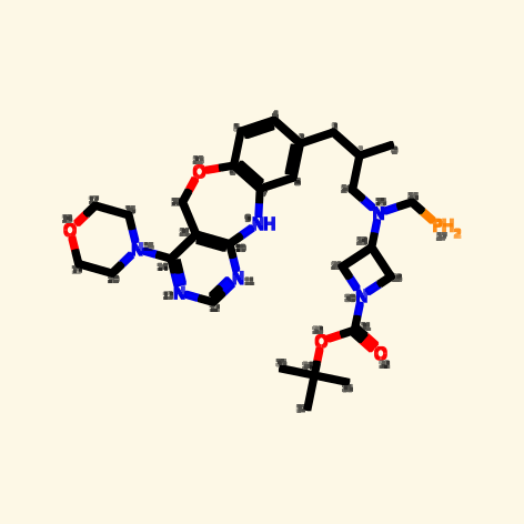 CC(Cc1ccc2c(c1)Nc1ncnc(N3CCOCC3)c1CO2)CN(CP)C1CN(C(=O)OC(C)(C)C)C1